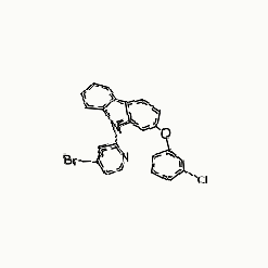 Clc1cccc(Oc2ccc3c4ccccc4n(-c4cc(Br)ccn4)c3c2)c1